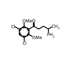 COc1c(Cl)cc(Cl)c(OC)c1C(=O)CCC(C)P